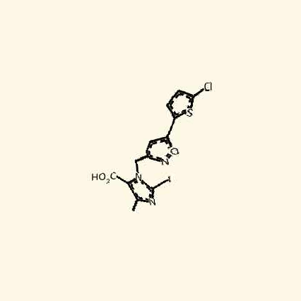 Cc1nc(I)n(Cc2cc(-c3ccc(Cl)s3)on2)c1C(=O)O